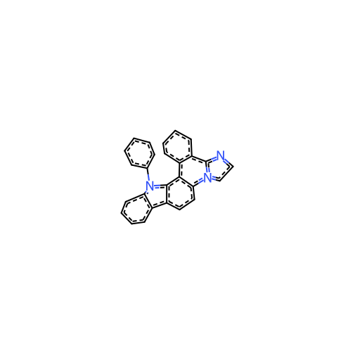 c1ccc(-n2c3ccccc3c3ccc4c(c5ccccc5c5nccn45)c32)cc1